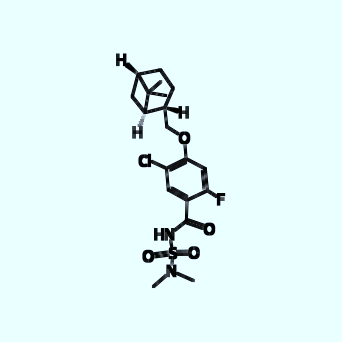 CN(C)S(=O)(=O)NC(=O)c1cc(Cl)c(OC[C@H]2CC[C@H]3C[C@H]2C3(C)C)cc1F